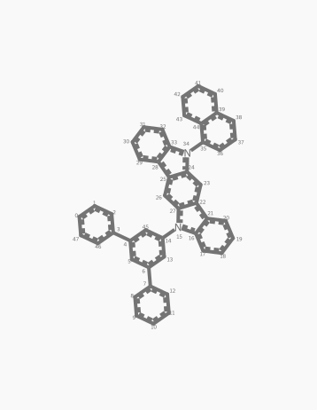 c1ccc(-c2cc(-c3ccccc3)cc(-n3c4ccccc4c4cc5c(cc43)c3ccccc3n5-c3cccc4ccccc34)c2)cc1